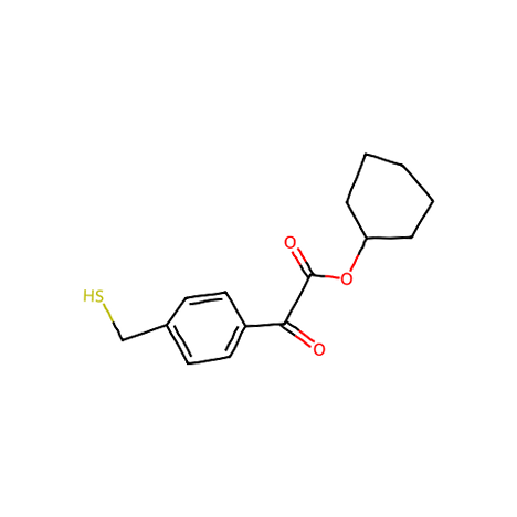 O=C(OC1CCCCC1)C(=O)c1ccc(CS)cc1